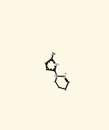 Brc1ccc(N2CCCC=N2)s1